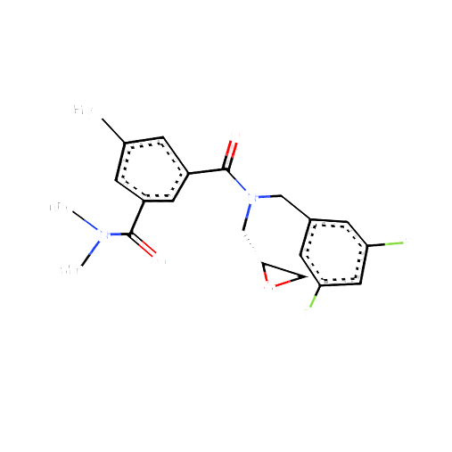 CCCN(CCC)C(=O)c1cc(C)cc(C(=O)N(Cc2cc(F)cc(F)c2)C[C@@H]2CO2)c1